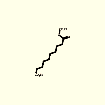 CCOC(=O)CCCCCCCCC(=O)OC(=O)OCC